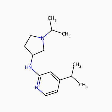 CC(C)c1ccnc(NC2CCN(C(C)C)C2)c1